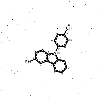 CCc1ccc2c(c1)c1ccccc1n2-c1ccc(C)cc1